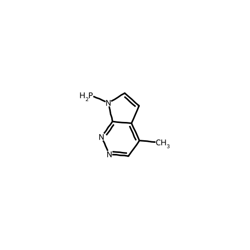 Cc1cnnc2c1ccn2P